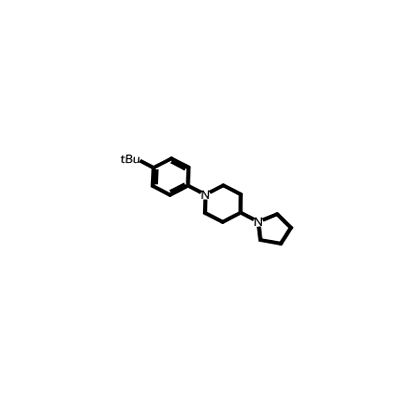 CC(C)(C)c1ccc(N2CCC(N3CCCC3)CC2)cc1